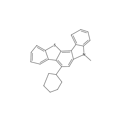 Cn1c2ccccc2c2c3sc4ccccc4c3c(C3CCCCC3)cc21